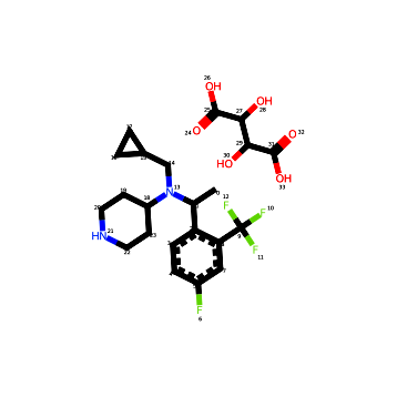 CC(c1ccc(F)cc1C(F)(F)F)N(CC1CC1)C1CCNCC1.O=C(O)C(O)C(O)C(=O)O